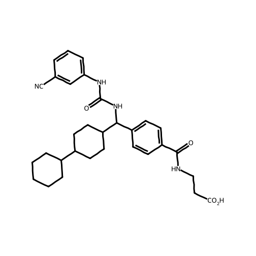 N#Cc1cccc(NC(=O)NC(c2ccc(C(=O)NCCC(=O)O)cc2)C2CCC(C3CCCCC3)CC2)c1